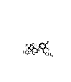 CCc1c([C@@H]2CO[C@@](C)(C(F)(F)F)[C@H]2C)ccc(F)c1F